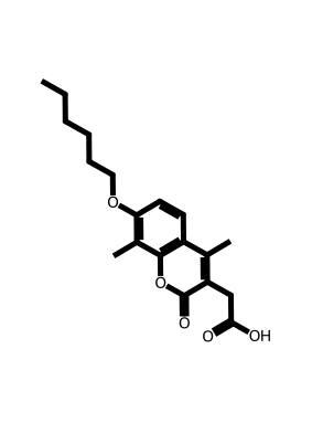 CCCCCCOc1ccc2c(C)c(CC(=O)O)c(=O)oc2c1C